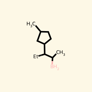 BC(C)C(CC)C1CCC(C)C1